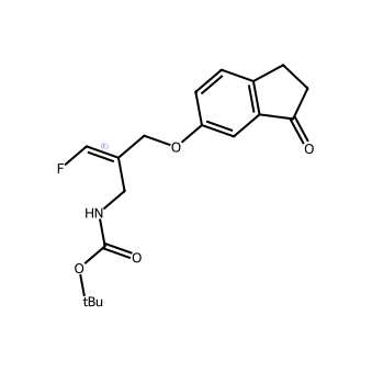 CC(C)(C)OC(=O)NC/C(=C\F)COc1ccc2c(c1)C(=O)CC2